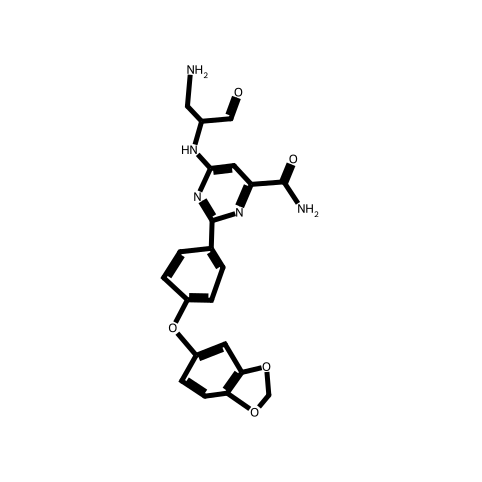 NCC(C=O)Nc1cc(C(N)=O)nc(-c2ccc(Oc3ccc4c(c3)OCO4)cc2)n1